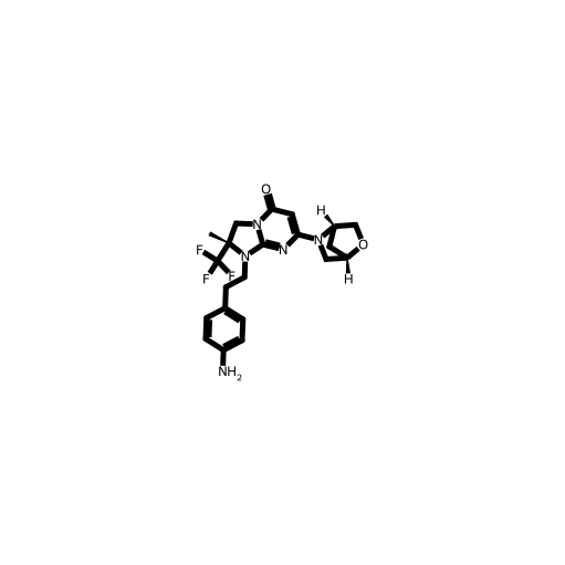 C[C@@]1(C(F)(F)F)Cn2c(nc(N3C[C@@H]4C[C@H]3CO4)cc2=O)N1CCc1ccc(N)cc1